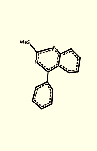 CSc1nc(-c2ccccc2)c2ccccc2n1